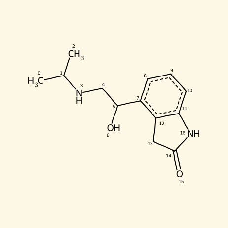 CC(C)NCC(O)c1cccc2c1CC(=O)N2